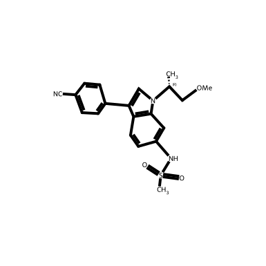 COC[C@@H](C)n1cc(-c2ccc(C#N)cc2)c2ccc(NS(C)(=O)=O)cc21